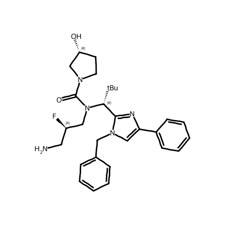 CC(C)(C)[C@H](c1nc(-c2ccccc2)cn1Cc1ccccc1)N(C[C@H](F)CN)C(=O)N1CC[C@@H](O)C1